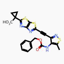 Cc1snc(C#Cc2nc3nc(C4(C(=O)O)CC4)sc3s2)c1NC(=O)OCc1ccccc1